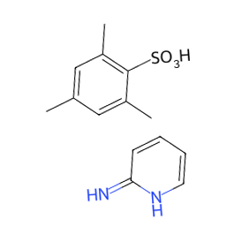 Cc1cc(C)c(S(=O)(=O)O)c(C)c1.N=c1cccc[nH]1